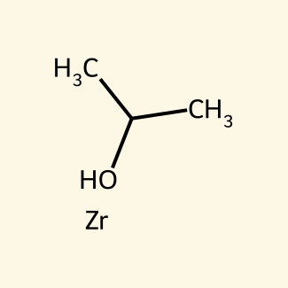 CC(C)O.[Zr]